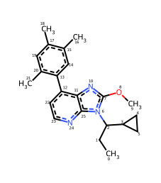 CCC(C1CC1)n1c(OC)nc2c(-c3cc(C)c(C)cc3C)ccnc21